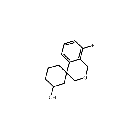 OC1CCCC2(COCc3c(F)cccc32)C1